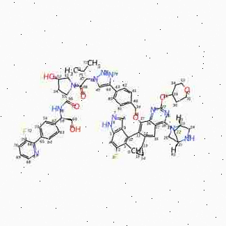 Cc1c(F)cc2[nH]ncc2c1-c1c(C2CC2)cc2c(N3C[C@@H]4C[C@H]3CN4)nc(OC3CCOCC3)nc2c1OCc1ccc(-c2cn([C@H](C(=O)N3C[C@H](O)C[C@H]3C(=O)N[C@@H](CO)c3ccc(-c4ncccc4F)cc3)C(C)C)nn2)cc1